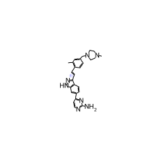 Cc1cc(CN2CCN(C)CC2)ccc1/C=C/c1n[nH]c2cc(-c3ccnc(N)n3)ccc12